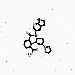 NC(=O)c1cccc(C(=O)Nc2cnc3[nH]ccc3c2)c1-c1cccc(-n2cccn2)c1